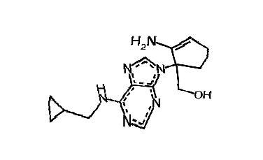 NC1=CCCC1(CO)n1cnc2c(NCC3CC3)ncnc21